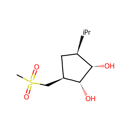 CC(C)[C@@H]1C[C@H](CS(C)(=O)=O)[C@@H](O)[C@H]1O